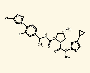 CC(NC(=O)[C@H]1C[C@H](O)CN1C(=O)[C@H](n1cc(C2CC2)nn1)C(C)(C)C)c1ccc(-n2cc(Cl)cn2)c(F)c1